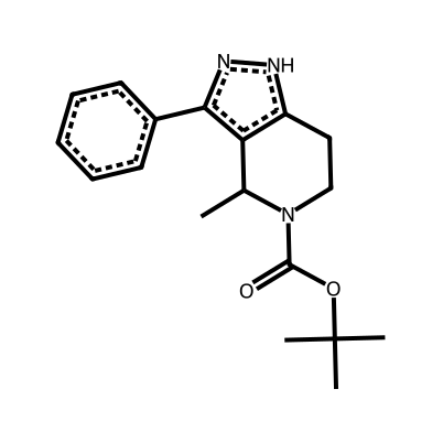 CC1c2c(-c3ccccc3)n[nH]c2CCN1C(=O)OC(C)(C)C